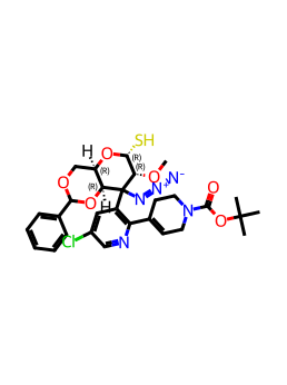 CO[C@H]1[C@@H](S)O[C@@H]2COC(c3ccccc3)O[C@@H]2C1(N=[N+]=[N-])c1cc(Cl)cnc1C1=CCN(C(=O)OC(C)(C)C)CC1